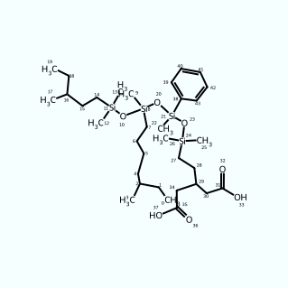 CCC(C)CCCC[Si](C)(O[Si](C)(C)CCC(C)CC)O[Si](C)(O[Si](C)(C)CCC(CC(=O)O)CC(=O)O)c1ccccc1